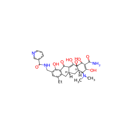 CCc1cc(CNC(=O)c2cccnc2)c(O)c2c1C[C@H]1C[C@H]3[C@H](N(C)C)C(O)=C(C(N)=O)C(=O)[C@@]3(O)C(O)=C1C2=O